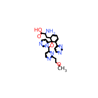 COCCc1nccc(COC2(c3ccncn3)C(c3ccncn3)=CC=CC2CC(N)C(=O)O)n1